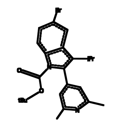 Cc1cc(-c2c(C(C)C)c3cc(Br)ccc3n2C(=O)OC(C)(C)C)cc(C)n1